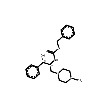 CN1CCN(C[C@H](NC(=O)OCc2ccccc2)[C@@H](O)c2ccccc2)CC1